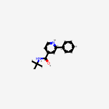 CC(C)(C)NC(=O)c1ccnc(-c2ccccc2)c1